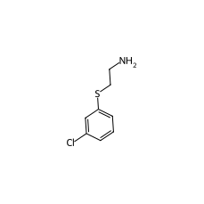 NCCSc1cccc(Cl)c1